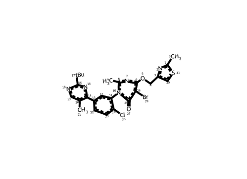 Cc1nc(COc2nc(C)n(-c3cc(-c4nc(C(C)(C)C)ncc4C)ccc3Cl)c(=O)c2Br)cs1